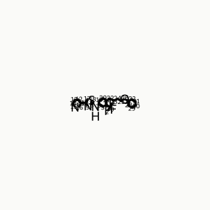 FC(F)(F)c1cc(Nc2nc(-c3cccnc3)cs2)ccc1CCCCOc1ccccc1